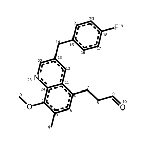 COc1c(C)cc(CCC=O)c2cc(Cc3ccc(F)cc3)cnc12